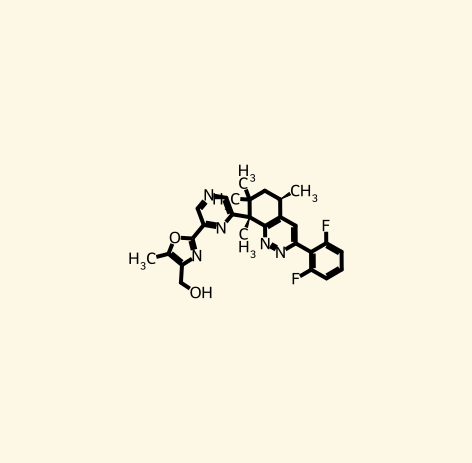 Cc1oc(-c2cncc([C@@]3(C)c4nnc(-c5c(F)cccc5F)cc4[C@H](C)CC3(C)C)n2)nc1CO